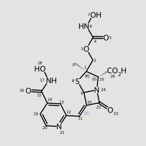 C[C@@]1(COC(=O)NO)SC2/C(=C\c3cc(C(=O)NO)ccn3)C(=O)N2[C@H]1C(=O)O